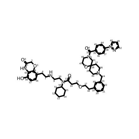 O=C1COc2c(CCNCCN(C(=O)CCOCCc3cccc(CN4CCC5(CC4)CN(C(=O)c4ccc(-n6cccn6)cc4)CCO5)c3)C3CCCCC3)ccc(O)c2N1